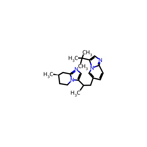 CC(Cc1ccc2ncc(C(C)(C)C)n2c1)c1cnc2n1CC[C@@H](C)C2